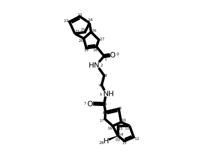 O=C(NCCNC(=O)C1=CC2C3C=C[C@@H](C3)C2C1)C1=CC2C3C=CC(C3)C2C1